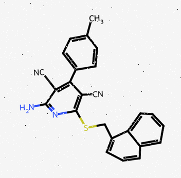 Cc1ccc(-c2c(C#N)c(N)nc(SCc3cccc4ccccc34)c2C#N)cc1